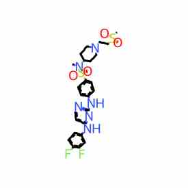 CN(C1CCN(CCS(C)(=O)=O)CC1)S(=O)(=O)c1ccc(Nc2nccc(Nc3ccc(F)c(F)c3)n2)cc1